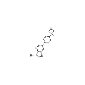 CC1(c2ccc(-c3cnc4c(Br)cnn4c3)cc2)COC1